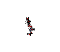 C/N=c1/c2nc(-c3cccc(-c4cccc5c4CC[C@@H]5Oc4nc(OC)c(CN5CC[C@@H](O)C5)cc4Cl)c3Cl)oc2c(C#N)cn1CCN1CC[C@@H](C(=O)O)C1